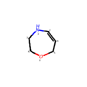 C1=CNCCOC1